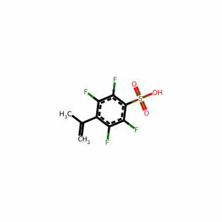 C=C(C)c1c(F)c(F)c(S(=O)(=O)O)c(F)c1F